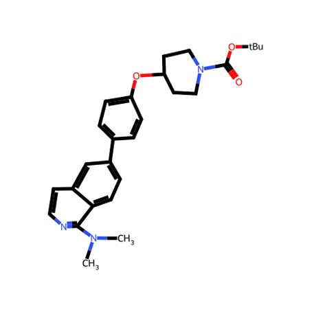 CN(C)c1nccc2cc(-c3ccc(OC4CCN(C(=O)OC(C)(C)C)CC4)cc3)ccc12